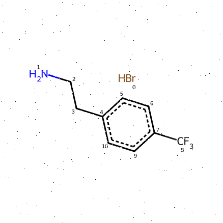 Br.NCCc1ccc(C(F)(F)F)cc1